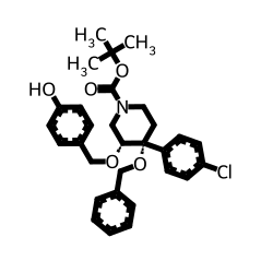 CC(C)(C)OC(=O)N1CC[C@@](OCc2ccccc2)(c2ccc(Cl)cc2)[C@H](OCc2ccc(O)cc2)C1